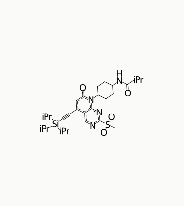 CC(C)C(=O)NC1CCC(n2c(=O)cc(C#C[Si](C(C)C)(C(C)C)C(C)C)c3cnc(S(C)(=O)=O)nc32)CC1